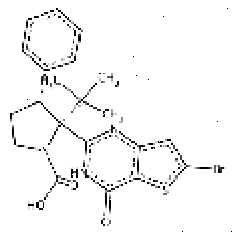 CC(C)(C)[C@@]1(c2nc3cc(Br)sc3c(=O)[nH]2)[C@@H](c2ccccc2)CCN1C(=O)O